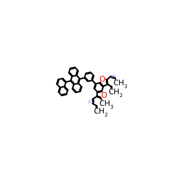 C=C/C=C\c1c(C)oc2c1cc(-c1cccc(-c3c4ccccc4c(-c4cccc5ccccc45)c4ccccc34)c1)c1oc(/C=C\C)c(C=C)c12